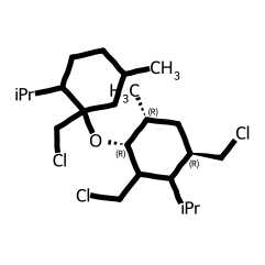 CC1CCC(C(C)C)C(CCl)(O[C@H]2C(CCl)C(C(C)C)[C@H](CCl)C[C@H]2C)C1